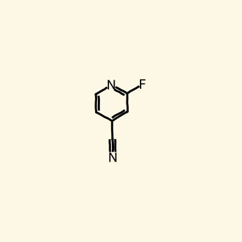 N#Cc1ccnc(F)c1